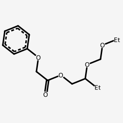 CCOCOC(CC)COC(=O)COc1ccccc1